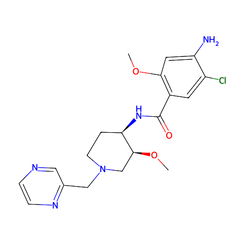 COc1cc(N)c(Cl)cc1C(=O)N[C@@H]1CCN(Cc2cnccn2)C[C@@H]1OC